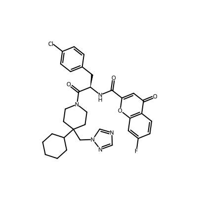 O=C(N[C@H](Cc1ccc(Cl)cc1)C(=O)N1CCC(Cn2cncn2)(C2CCCCC2)CC1)c1cc(=O)c2ccc(F)cc2o1